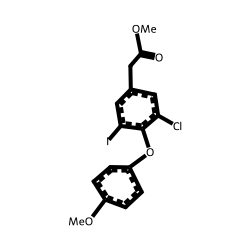 COC(=O)Cc1cc(Cl)c(Oc2ccc(OC)cc2)c(I)c1